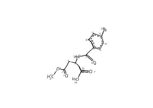 COC(=O)CC(NC(=O)c1ccc(Br)cc1)C(=O)O